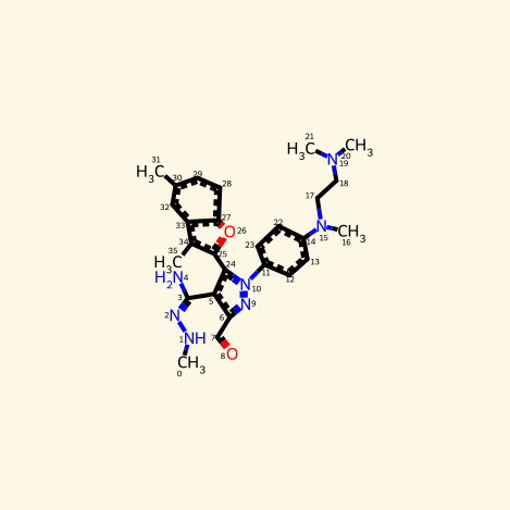 CN/N=C(/N)c1c(C=O)nn(-c2ccc(N(C)CCN(C)C)cc2)c1-c1oc2ccc(C)cc2c1C